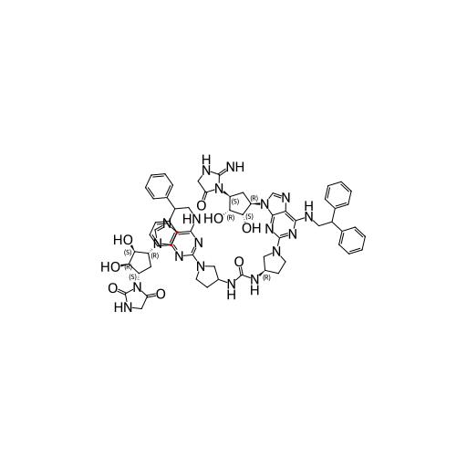 N=C1NCC(=O)N1[C@H]1C[C@@H](n2cnc3c(NCC(c4ccccc4)c4ccccc4)nc(N4CC[C@@H](NC(=O)NC5CCN(c6nc(NCC(c7ccccc7)c7ccccc7)c7ncn([C@@H]8C[C@H](N9C(=O)CNC9=O)[C@@H](O)[C@H]8O)c7n6)C5)C4)nc32)[C@H](O)[C@@H]1O